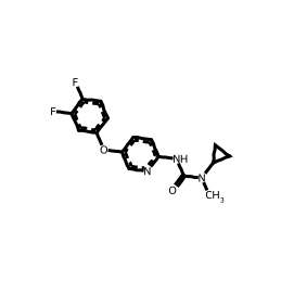 CN(C(=O)Nc1ccc(Oc2ccc(F)c(F)c2)cn1)C1CC1